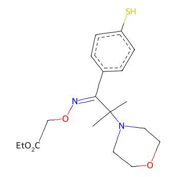 CCOC(=O)CO/N=C(/c1ccc(S)cc1)C(C)(C)N1CCOCC1